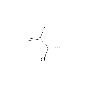 [CH]=C(Cl)C(=[CH])Cl